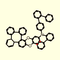 C1=CC2c3ccccc3-c3ccccc3-c3c(ccc4c3Oc3cc(N(c5ccc(-c6ccccc6-c6ccccc6)cc5)c5ccccc5-c5ccccc5)ccc3O4)C2C=C1